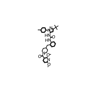 COc1ccc(C(=O)N2CCC(Cc3ccccc3NC(=O)Nc3cc(C(C)(C)C)nn3-c3ccc(C)cc3)CC2)c(OC)n1